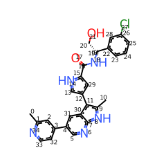 Cc1cc(-c2cnc3[nH]c(C)c(-c4c[nH]c(C(=O)N[C@H](CO)c5cccc(Cl)c5)c4)c3c2)ccn1